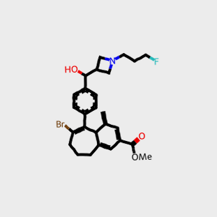 C=C1C=C(C(=O)OC)C=C2CCCC(Br)=C(c3ccc(C(O)C4CN(CCCF)C4)cc3)C12